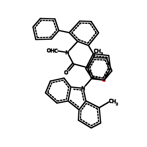 Cc1cccc(-n2c3ccccc3c3cccc(C)c32)c1C(=O)N(C=O)c1c(-c2ccccc2)cccc1-c1ccccc1